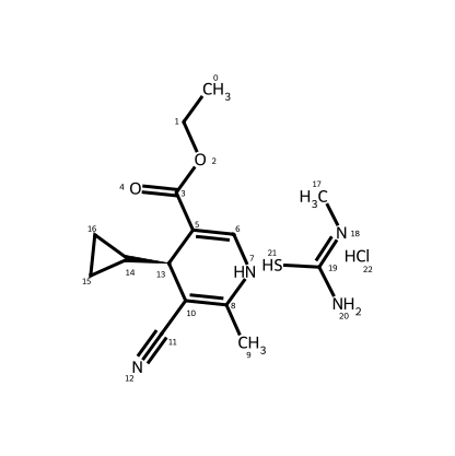 CCOC(=O)C1=CNC(C)=C(C#N)[C@H]1C1CC1.CN=C(N)S.Cl